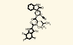 [2H]c1c(C(=O)N(C)[C@@H](CC(C)C)C(=O)N2C[C@]3(C[C@H]2C#N)C(=O)Nc2ccccc23)[nH]c2c(F)c(F)cc(F)c12